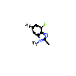 [2H]c1cc(F)c2nc(C)n(C(C)C)c2c1